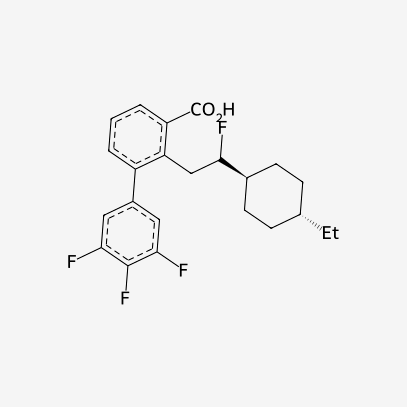 CC[C@H]1CC[C@H](C(F)Cc2c(C(=O)O)cccc2-c2cc(F)c(F)c(F)c2)CC1